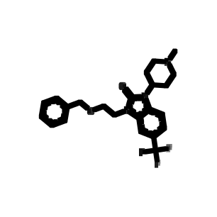 CN1CCC(n2c(=O)n(CCOCc3ccccc3)c3cc(C(F)(F)F)ccc32)CC1